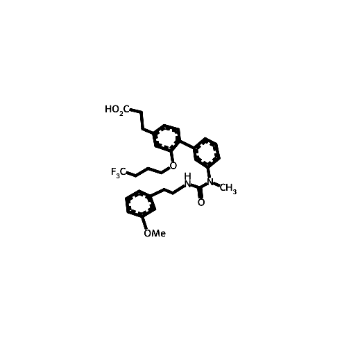 COc1cccc(CCNC(=O)N(C)c2cccc(-c3ccc(CCC(=O)O)cc3OCCCC(F)(F)F)c2)c1